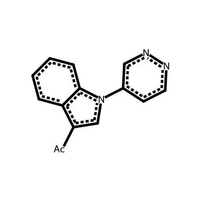 CC(=O)c1cn(-c2ccnnc2)c2ccccc12